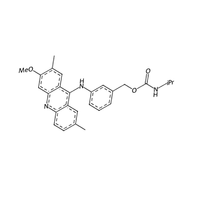 COc1cc2nc3ccc(C)cc3c(Nc3cccc(COC(=O)NC(C)C)c3)c2cc1C